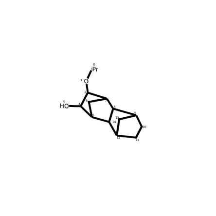 CC(C)OC1C(O)C2CC1C1C3CCC(C3)C21